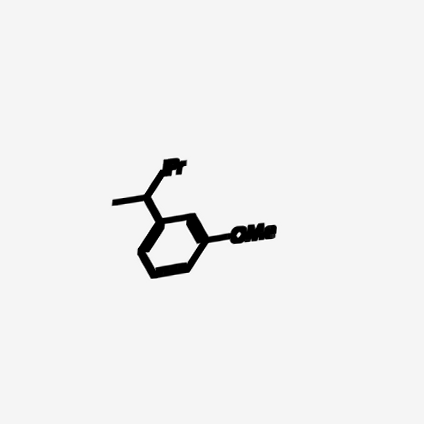 COc1cccc(C(C)C(C)C)c1